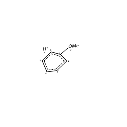 COc1c[c]ccc1.[H+]